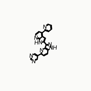 c1ccc(-c2ccnc3[nH]c(-c4n[nH]c5ccc(-c6cncnc6)nc45)cc23)nc1